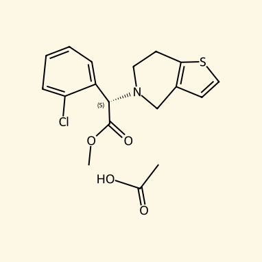 CC(=O)O.COC(=O)[C@H](c1ccccc1Cl)N1CCc2sccc2C1